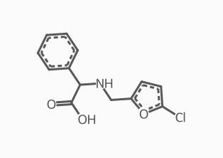 O=C(O)C(NCc1ccc(Cl)o1)c1ccccc1